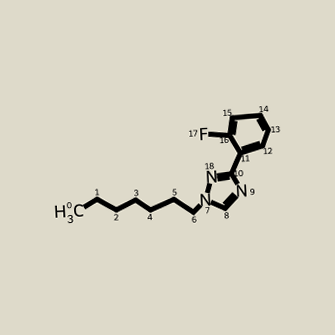 CCCCCCCn1cnc(-c2ccccc2F)n1